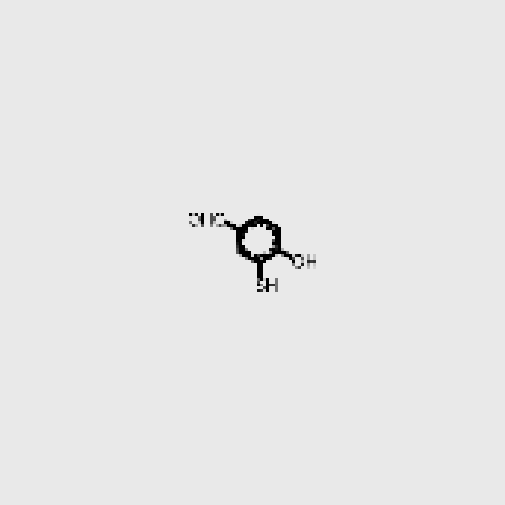 O=Cc1ccc(O)c(S)c1